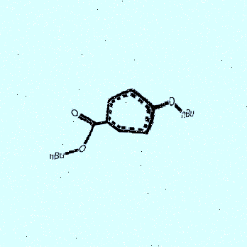 CCCCOC(=O)c1ccc(OCCCC)cc1